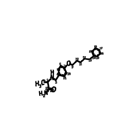 CC(NCc1ccc(OCCCCCc2ccccc2)cc1)C(N)=O